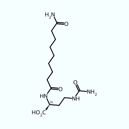 NC(=O)CCCCCCCC(=O)N[C@@H](CCNC(N)=O)C(=O)O